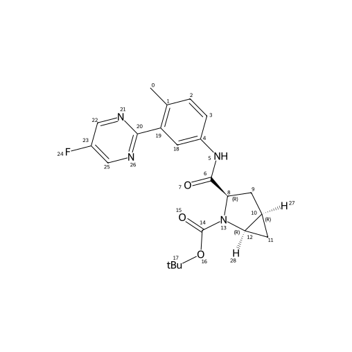 Cc1ccc(NC(=O)[C@H]2C[C@H]3C[C@H]3N2C(=O)OC(C)(C)C)cc1-c1ncc(F)cn1